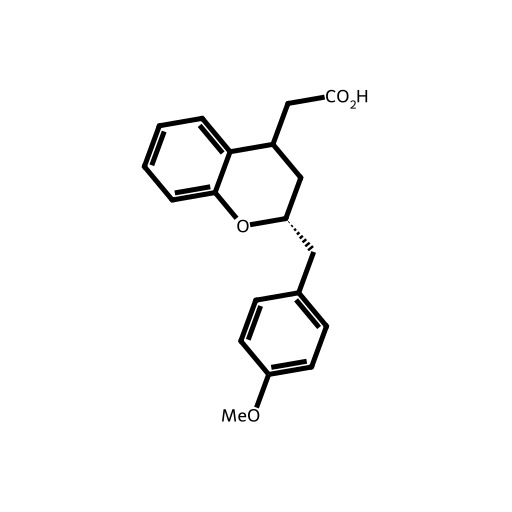 COc1ccc(C[C@H]2CC(CC(=O)O)c3ccccc3O2)cc1